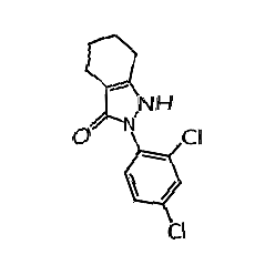 O=c1c2c([nH]n1-c1ccc(Cl)cc1Cl)CCCC2